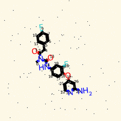 CN(C(=O)Cc1ccc(F)cc1)C(=O)Nc1ccc(Oc2ccnc(N)c2)c(F)c1